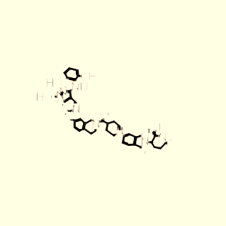 Cc1cccc(C)c1Nc1nn(C)c2nc(Nc3ccc4c(c3)CN(C(=O)C3CCN(c5ccc6c(c5)C(=O)N(C5CCC(=O)NC5=O)C6=O)CC3)CC4)ncc12